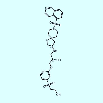 O=S(=O)(CCO)c1cccc(OC[C@@H](O)CN[C@H]2COC3(CCN(S(=O)(=O)c4cccc5cnccc45)CC3)C2)c1